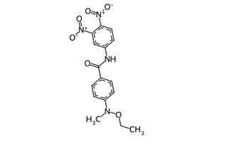 CCON(C)c1ccc(C(=O)Nc2ccc([N+](=O)[O-])c([N+](=O)[O-])c2)cc1